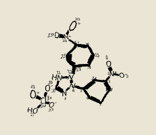 O=[N+]([O-])c1cccc(N2N=CNN2c2cccc([N+](=O)[O-])c2)c1.[O-][Cl+3]([O-])([O-])O